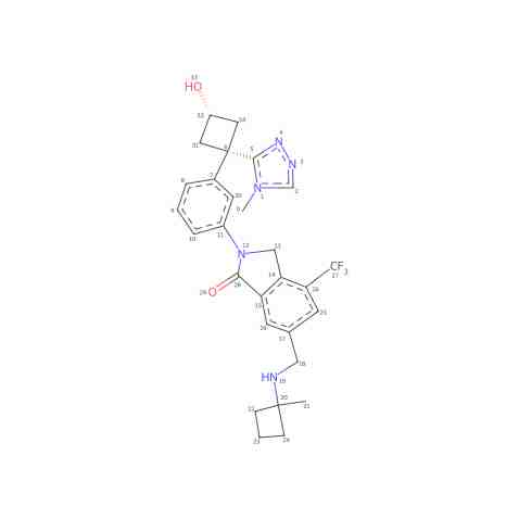 Cn1cnnc1[C@]1(c2cccc(N3Cc4c(cc(CNC5(C)CCC5)cc4C(F)(F)F)C3=O)c2)C[C@H](O)C1